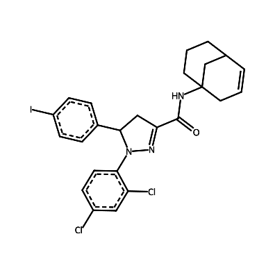 O=C(NC12CC=CC(CCC1)C2)C1=NN(c2ccc(Cl)cc2Cl)C(c2ccc(I)cc2)C1